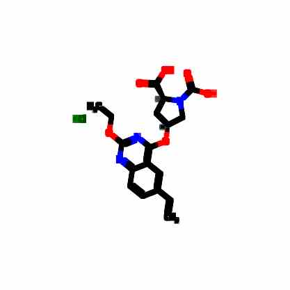 C=Cc1ccc2nc(OCC)nc(O[C@@H]3C[C@@H](C(=O)O)N(C(=O)O)C3)c2c1.Cl